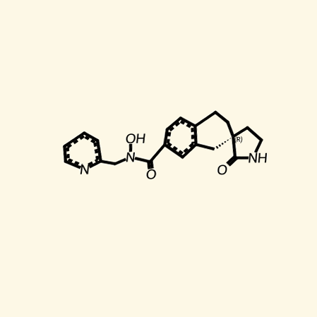 O=C(c1ccc2c(c1)C[C@@]1(CCNC1=O)CC2)N(O)Cc1ccccn1